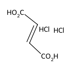 Cl.Cl.O=C(O)/C=C/C(=O)O